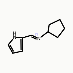 C(=N\C1CCCC1)/c1ccc[nH]1